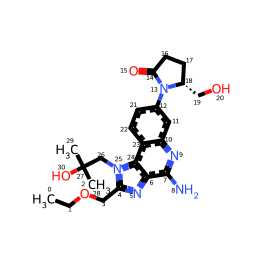 CCOCc1nc2c(N)nc3cc(N4C(=O)CC[C@@H]4CO)ccc3c2n1CC(C)(C)O